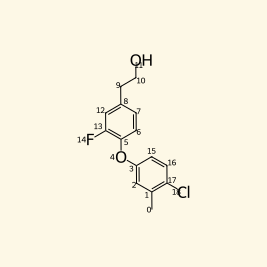 Cc1cc(Oc2ccc(CCO)cc2F)ccc1Cl